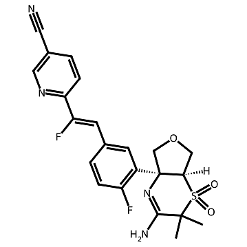 CC1(C)C(N)=N[C@@]2(c3cc(/C=C(\F)c4ccc(C#N)cn4)ccc3F)COC[C@H]2S1(=O)=O